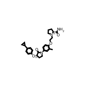 Cc1cc(N2CC[C@H](Oc3ccc(C4CC4)cc3)C2=O)ccc1OCCN1CCC[C@H]1C(N)=O